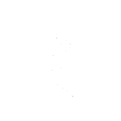 CC(C(=O)NC12CC(N)(C1)C2)[C@@H]1C2=C[C@H](Oc3ccnc4ccc(F)cc34)C[C@H]21